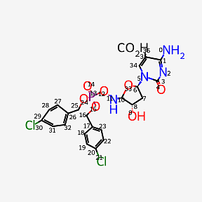 Nc1nc(=O)n([C@H]2C[C@H](O)[C@@H](NOP(=O)(OCc3ccc(Cl)cc3)OCc3ccc(Cl)cc3)O2)cc1C(=O)O